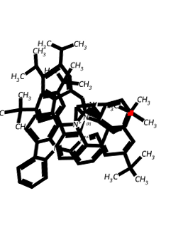 CC(C)c1cc2c(cc1C(C)C)C1CC=CC3=C1[N+]1(c4c-2ccc2c5ccccc5n(c42)-c2cccc[n+]21)C1[N+]32c3ccccc3[N@+]12c1c(-c2cc(C(C)(C)C)cc(C(C)(C)C)c2)cccc1-c1cc(C(C)(C)C)cc(C(C)(C)C)c1